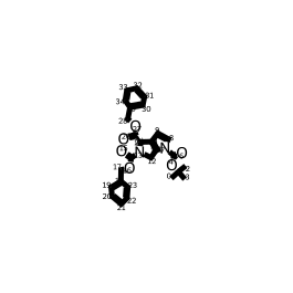 CC(C)(C)OC(=O)n1ccc2c1CN(C(=O)OCc1ccccc1)[C@H]2C(=O)OCc1ccccc1